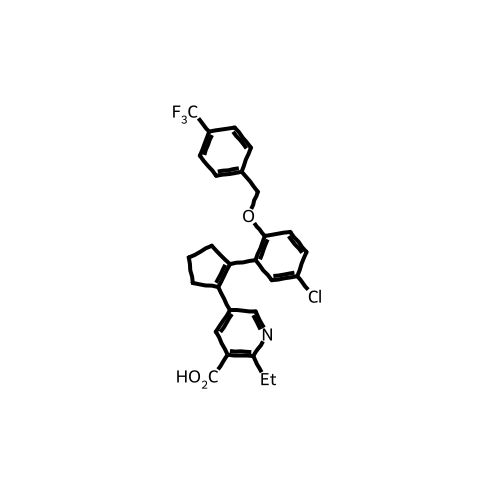 CCc1ncc(C2=C(c3cc(Cl)ccc3OCc3ccc(C(F)(F)F)cc3)CCC2)cc1C(=O)O